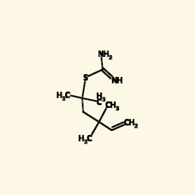 C=CC(C)(C)CC(C)(C)SC(=N)N